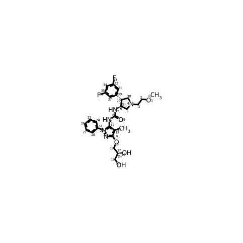 COCCN1C[C@@H](NC(=O)Nc2c(C)c(OC[C@@H](O)CO)nn2-c2ccccc2)[C@H](c2cc(F)cc(F)c2)C1